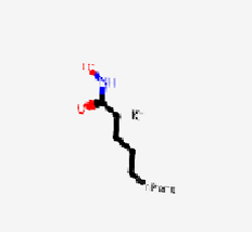 CCCCCCCCCC(=O)N[O-].[K+]